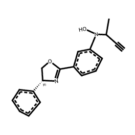 C#CC(C)N(O)c1cccc(C2=N[C@H](c3ccccc3)CO2)c1